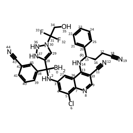 BC(Nc1cc(Cl)c2ncc(C#N)c(N[C@H](CCC#N)c3ccccc3)c2c1)(C1=CN(C(F)(F)CO)NN1)c1cccc(C#N)c1